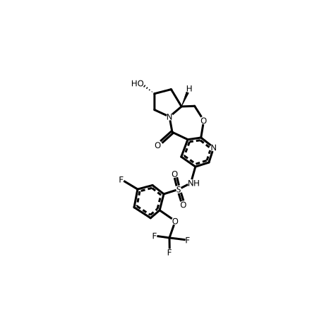 O=C1c2cc(NS(=O)(=O)c3cc(F)ccc3OC(F)(F)F)cnc2OC[C@H]2C[C@@H](O)CN12